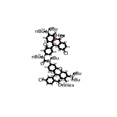 CCCCCCOC(=O)c1ccc(Cl)cc1-c1c2cc(C)c(=[N+](CCCC)CCCC)cc-2oc2cc(N(CCCC)C(=O)N(CCCC)c3ccc4c(-c5cc(Cl)ccc5C(=O)OCCCCCC)c5cc(C)c(=[N+](CCCC)CCCC)cc-5oc4c3)ccc12